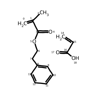 C=C(C)C(=O)OCCc1ccccc1.C=CC(=O)O